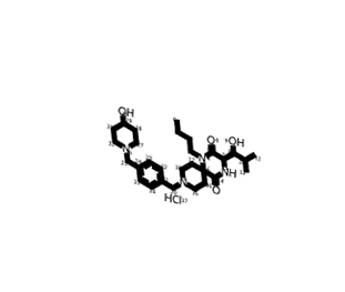 CCCCN1C(=O)C(C(O)C(C)C)NC(=O)C12CCN(Cc1ccc(CN3CCC(O)CC3)cc1)CC2.Cl